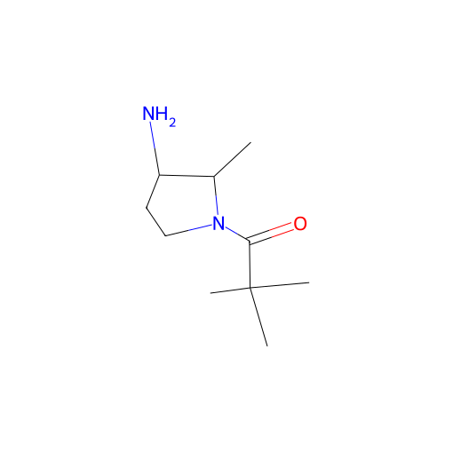 CC1C(N)CCN1C(=O)C(C)(C)C